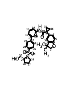 CC1(C)COc2ccc(C3(C(=O)Nc4cccc(-c5ccc(S(=O)(=O)N6CCC[C@@H]6CO)cc5)n4)CC3)cc21